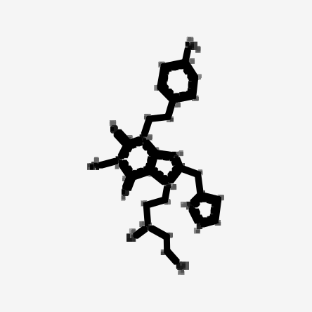 CCCn1c(=O)c2c(nc(Cc3ccsn3)n2CCN(CC)CCO)n(CCc2ccc(N)cc2)c1=O